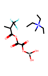 CC(C(=O)OC(=O)C(=O)OB(O)O)C(F)(F)F.CC[N+](C)(CC)CC